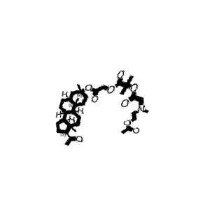 CC(=O)OCCN(C)CC(=O)OC(C)(C)C(=O)OCC(=O)O[C@]1(C)CC[C@@]2(C)[C@@H](CC[C@@H]3[C@@H]2CC[C@]2(C)[C@@H](C(C)=O)CC[C@@H]32)C1